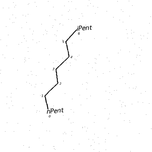 CCCCCCCCCCC(C)CCC